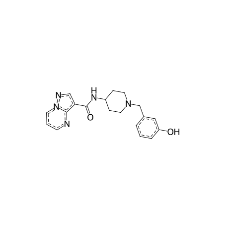 O=C(NC1CCN(Cc2cccc(O)c2)CC1)c1cnn2cccnc12